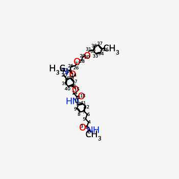 CNC(=O)CCCc1ccc(NC(=O)COc2ccc(CN(C)C(=O)CCOCCOCc3ccc(C)cc3)cc2)cc1